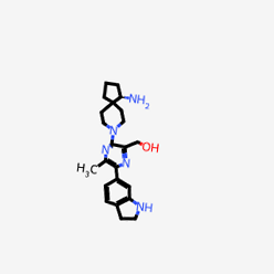 Cc1nc(N2CCC3(CCC[C@H]3N)CC2)c(CO)nc1-c1ccc2c(c1)NCC2